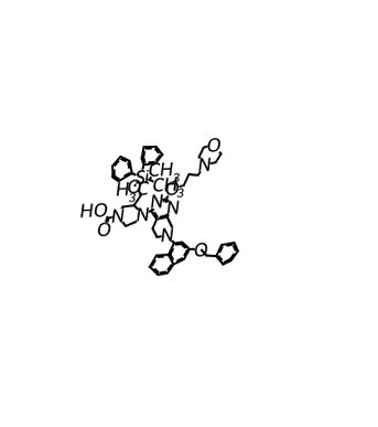 CC(C)(C)[Si](OCC1CN(C(=O)O)CCN1c1nc(OCCCN2CCOCC2)nc2c1CCN(c1cc(OCc3ccccc3)cc3ccccc13)C2)(c1ccccc1)c1ccccc1